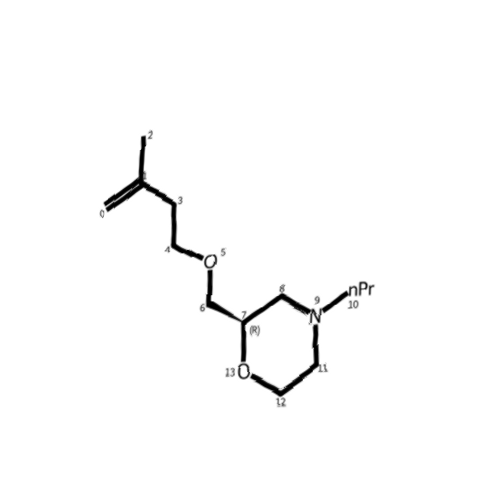 C=C(C)CCOC[C@H]1CN(CCC)CCO1